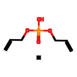 C=CCOP(=O)(O)OCC=C.[Ni]